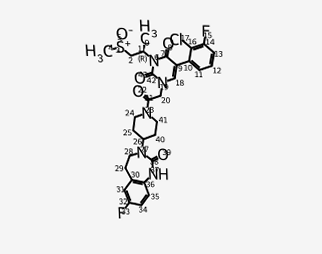 C[C@H](C[S+](C)[O-])n1c(=O)c(-c2cccc(F)c2Cl)cn(CC(=O)N2CCC(N3CCc4cc(F)ccc4NC3=O)CC2)c1=O